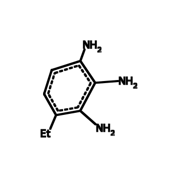 [CH2]Cc1ccc(N)c(N)c1N